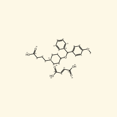 COc1ccc(C(OC2CCN(CCCC(=O)O)CC2)c2ccccc2)cc1.O=C(O)C=CC(=O)O